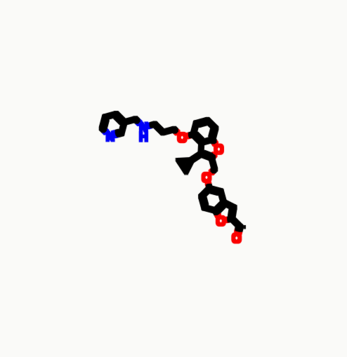 O=[C]c1cc2cc(OCc3oc4cccc(OCCCNCc5cccnc5)c4c3C3CC3)ccc2o1